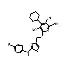 N#Cc1c(N)nc(SCc2csc(Nc3ccc(F)cc3)n2)c(C#N)c1C1CCCCC1